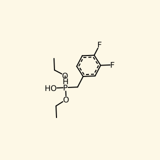 CCO[PH](O)(Cc1ccc(F)c(F)c1)OCC